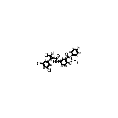 CN(C(=O)c1cc(NC(=O)C2[C@H](c3cc(Cl)cc(Cl)c3)C2(Cl)Cl)ccc1Cl)c1ccc(F)cc1